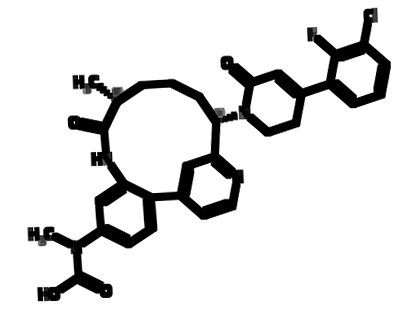 C[C@@H]1CCC[C@H](N2CCC(c3cccc(Cl)c3F)=CC2=O)c2cc(ccn2)-c2ccc(N(C)C(=O)O)cc2NC1=O